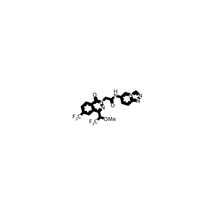 COC(c1nn(CC(=O)Nc2ccc3nncn3c2)c(=O)c2ccc(C(F)(F)F)cc12)C(F)(F)F